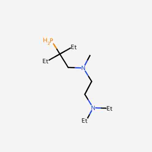 CCN(CC)CCN(C)CC(P)(CC)CC